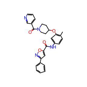 Cc1ccc(NC(=O)c2cc(-c3ccccc3)no2)cc1OC1CCN(C(=O)c2cccnc2)CC1